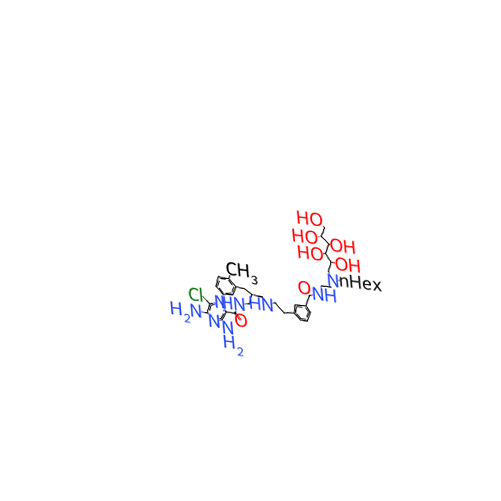 CCCCCCN(CCNC(=O)c1cccc(CCNC[C@@H](CNC(=O)c2nc(Cl)c(N)nc2N)Cc2ccccc2C)c1)C[C@H](O)[C@@H](O)[C@H](O)[C@H](O)CO